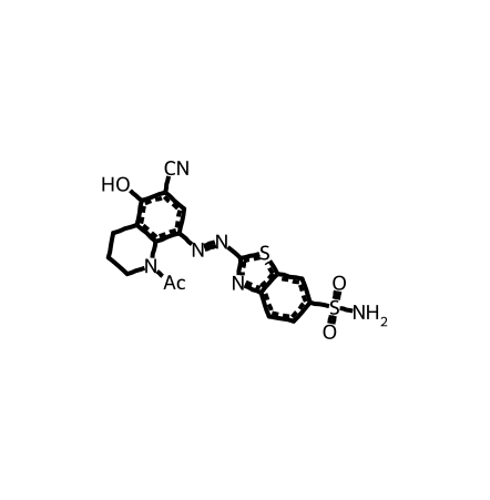 CC(=O)N1CCCc2c(O)c(C#N)cc(/N=N/c3nc4ccc(S(N)(=O)=O)cc4s3)c21